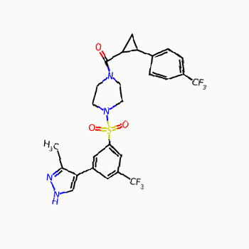 Cc1n[nH]cc1-c1cc(C(F)(F)F)cc(S(=O)(=O)N2CCN(C(=O)C3CC3c3ccc(C(F)(F)F)cc3)CC2)c1